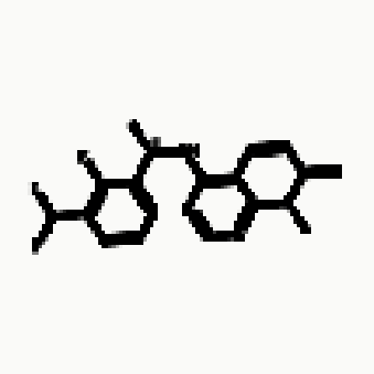 C[C@@H](Nc1ncnc2c1ccc(=O)n2C)c1cccc(C(F)F)c1F